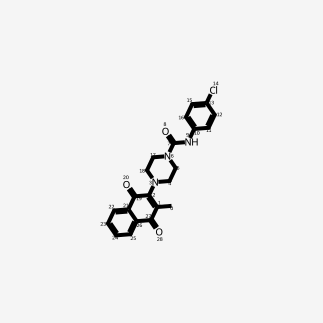 CC1=C(N2CCN(C(=O)Nc3ccc(Cl)cc3)CC2)C(=O)c2ccccc2C1=O